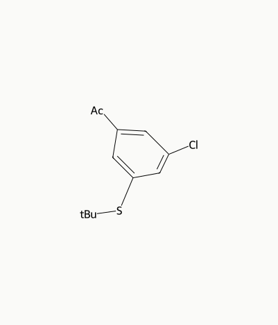 CC(=O)c1cc(Cl)cc(SC(C)(C)C)c1